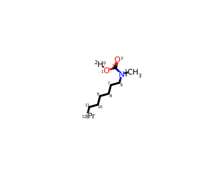 [2H]OC(=O)N(C)CCCCCCC(C)C